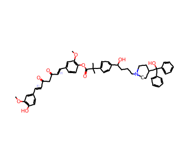 COc1cc(/C=C/C(=O)CC(=O)/C=C/c2ccc(OC(=O)C(C)(C)c3ccc(C(O)CCCN4CCC(C(O)(c5ccccc5)c5ccccc5)CC4)cc3)c(OC)c2)ccc1O